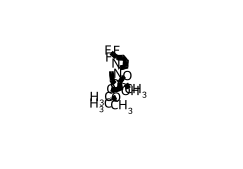 CC[C@]1([C@@H](O)C(=O)OC(C)(C)C)OCCN(c2cccc(C(F)(F)F)n2)C1=O